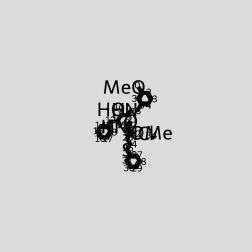 COc1cccc(CNC[C@@H](O)[C@H](Cc2ccccc2)NC(=O)C(CCSc2ccccc2)OC)c1.Cl